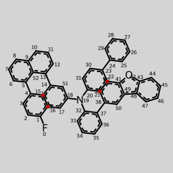 Fc1ccc(-c2cccc3cccc(-c4cccc(N(c5ccc(-c6ccccc6)cc5)c5ccccc5-c5ccc6oc7ccccc7c6c5)c4)c23)cc1